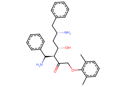 Cc1cccc(C)c1OCC(=O)[C@@H](C(N)c1ccccc1)[C@@H](O)C[C@@H](N)Cc1ccccc1